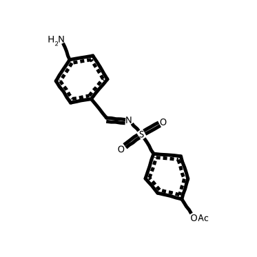 CC(=O)Oc1ccc(S(=O)(=O)N=Cc2ccc(N)cc2)cc1